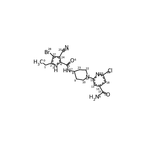 CCc1[nH]c(C(=O)NC2CCN(c3cc(C(N)=O)cc(Cl)n3)CC2)c(C#N)c1Br